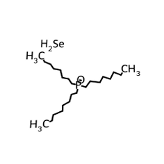 CCCCCCCCP(=O)(CCCCCCCC)CCCCCCCC.[SeH2]